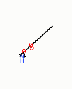 CCCCCCCCCCCCCCCCCCOC(=O)CCCCOC1CC(C)(C)NC(C)(C)C1